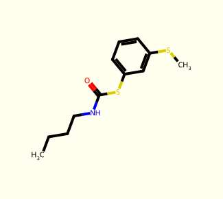 CCCCNC(=O)Sc1cccc(SC)c1